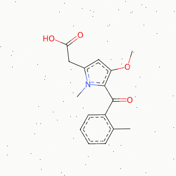 COc1cc(CC(=O)O)n(C)c1C(=O)c1ccccc1C